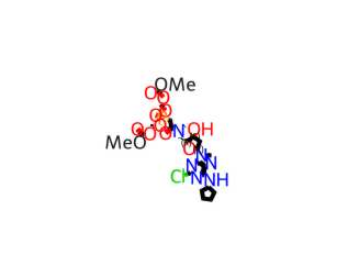 COC(=O)OCOP(=O)(CC(=O)N(C)C[C@H]1O[C@@H](n2cnc3c(NC4CCCC4)nc(Cl)nc32)C[C@@H]1O)OCOC(=O)OC